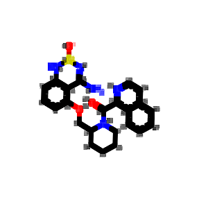 NC1=N[S+]([O-])Nc2cccc(OCC3CCCCN3C(=O)c3nccc4ccccc34)c21